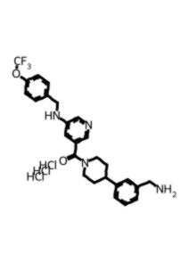 Cl.Cl.Cl.NCc1cccc(C2CCN(C(=O)c3cncc(NCc4ccc(OC(F)(F)F)cc4)c3)CC2)c1